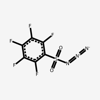 [N-]=[N+]=NS(=O)(=O)c1c(F)c(F)c(F)c(F)c1F